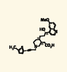 COc1ccc2nccc([C@@H](O)CC[C@@H]3CCN(CC#Cc4ccc(C)s4)C[C@@H]3CC(=O)O)c2c1